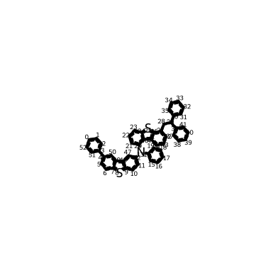 c1ccc(-c2ccc3sc4ccc(N(c5ccccc5)c5cccc6sc7c(CC(c8ccccc8)c8ccccc8)cccc7c56)cc4c3c2)cc1